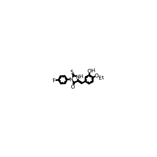 CCOc1ccc(/C=C2\NC(=S)N(c3ccc(F)cc3)C2=O)cc1O